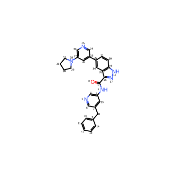 O=C(Nc1cncc(Cc2ccccc2)c1)c1n[nH]c2ccc(-c3cncc(N4CCCC4)c3)cc12